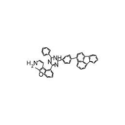 Cc1oc2cccc(C3=NC(c4ccc(-c5ccc6c7c(cccc57)-c5ccccc5-6)cc4)NC(c4ccccc4)=N3)c2c1/C=C\N